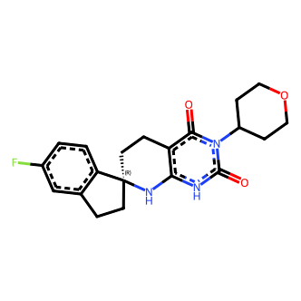 O=c1[nH]c2c(c(=O)n1C1CCOCC1)CC[C@@]1(CCc3cc(F)ccc31)N2